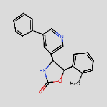 COc1ccccc1[C@H]1OC(=O)N[C@H]1c1cncc(-c2ccccc2)c1